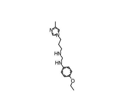 CCOc1ccc(NCNCCCn2cnc(C)c2)cc1